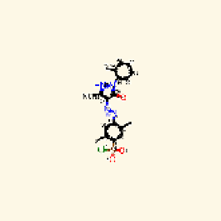 Cc1cc(S(=O)(=O)Cl)c(C)cc1/N=N/c1c(C#N)[nH]n(-c2ccccc2C)c1=O